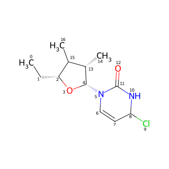 CC[C@H]1O[C@@H](N2C=CC(Cl)NC2=O)[C@@H](C)C1C